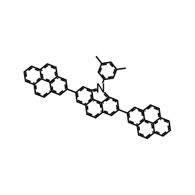 Cc1cc(C)cc(-n2c3cc(-c4cc5ccc6cccc7ccc(c4)c5c67)cc4ccc5cc(-c6cc7ccc8cccc9ccc(c6)c7c89)cc2c5c43)c1